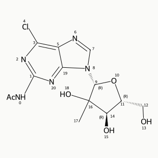 CC(=O)Nc1nc(Cl)c2ncn([C@@H]3O[C@H](CO)[C@@H](O)C3(C)O)c2n1